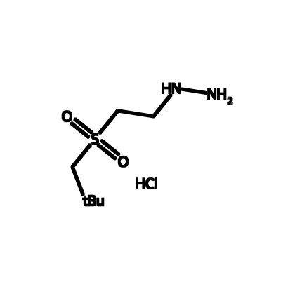 CC(C)(C)CS(=O)(=O)CCNN.Cl